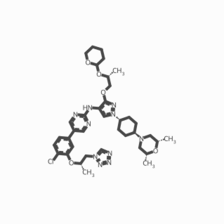 C[C@H](COc1nn([C@H]2CC[C@H](N3C[C@@H](C)O[C@@H](C)C3)CC2)cc1Nc1ncc(-c2ccc(Cl)c(O[C@@H](C)Cn3cnnn3)c2)cn1)OC1CCCCO1